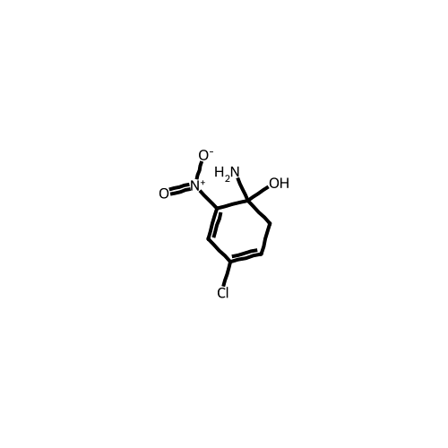 NC1(O)CC=C(Cl)C=C1[N+](=O)[O-]